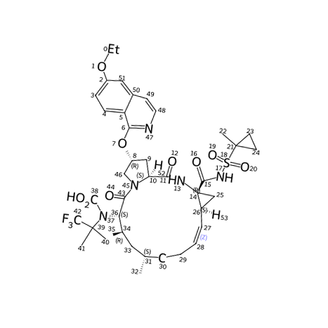 CCOc1ccc2c(O[C@@H]3C[C@H]4C(=O)N[C@]5(C(=O)NS(=O)(=O)C6(C)CC6)C[C@H]5/C=C\CC[C@H](C)C[C@@H](C)[C@H](N(C(=O)O)C(C)(C)C(F)(F)F)C(=O)N4C3)nccc2c1